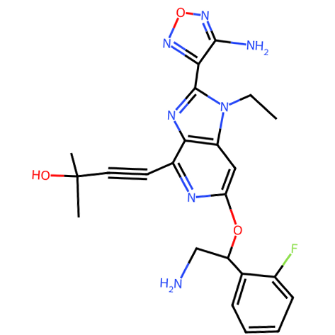 CCn1c(-c2nonc2N)nc2c(C#CC(C)(C)O)nc(OC(CN)c3ccccc3F)cc21